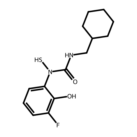 O=C(NCC1CCCCC1)N(S)c1cccc(F)c1O